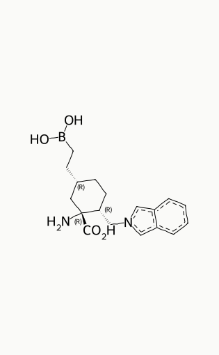 N[C@]1(C(=O)O)C[C@H](CCB(O)O)CC[C@@H]1Cn1cc2ccccc2c1